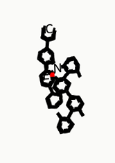 CCc1ccc(-c2ccc(C)c(-c3ccccc3C)c2)cc1-c1c(C)cccc1-n1c2cc(-c3ccccc3)ccc2c2ccc(C3C=CC=CC3)cc21